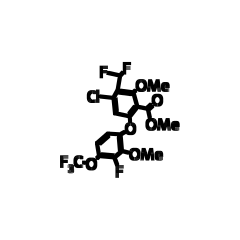 COC(=O)c1c(Oc2ccc(OC(F)(F)F)c(F)c2OC)cc(Cl)c(C(F)F)c1OC